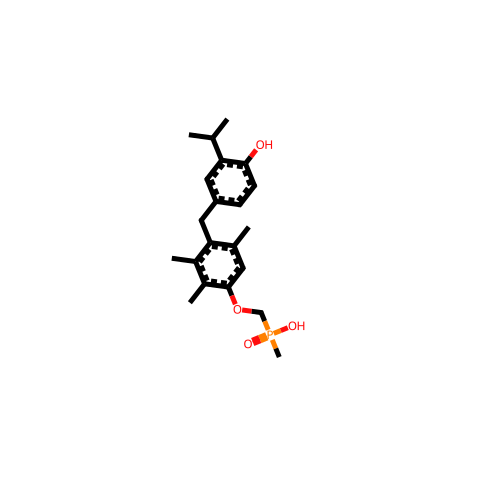 Cc1cc(OCP(C)(=O)O)c(C)c(C)c1Cc1ccc(O)c(C(C)C)c1